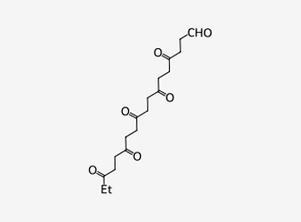 CCC(=O)CCC(=O)CCC(=O)CCC(=O)CCC(=O)CCC=O